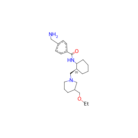 CCOCC1CCCN(C[C@@H]2CCCCC2NC(=O)c2ccc(CN)cc2)C1